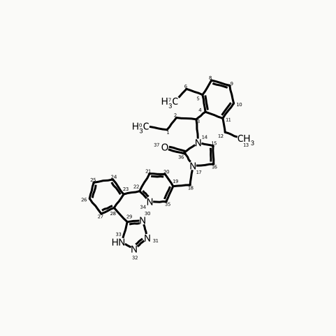 CCCC(c1c(CC)cccc1CC)n1ccn(Cc2ccc(-c3ccccc3-c3nnn[nH]3)nc2)c1=O